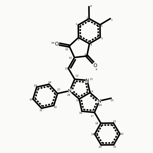 Cc1cc2c(cc1C)C(=O)C(=Cc1nc3c(cc(-c4ccccc4)n3C)n1-c1ccccc1)C2=O